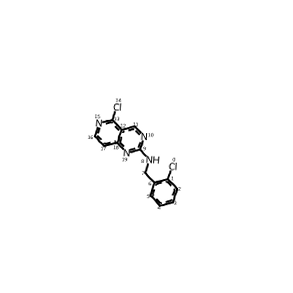 Clc1ccccc1CNc1ncc2c(Cl)nccc2n1